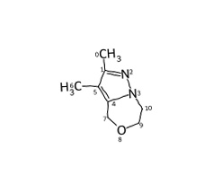 Cc1nn2c(c1C)COCC2